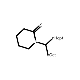 CCCCCCCCC(CCCCCCC)N1CCCCC1=S